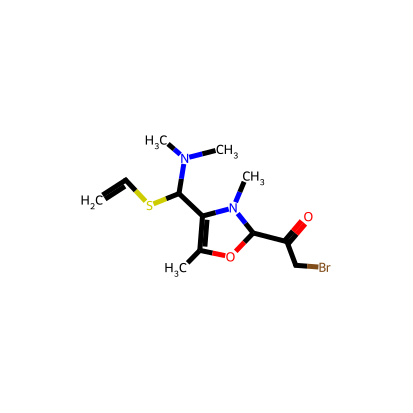 C=CSC(C1=C(C)OC(C(=O)CBr)N1C)N(C)C